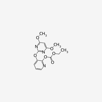 CCOC(=O)Oc1ncccc1Oc1nc(OC)cc(OC)n1